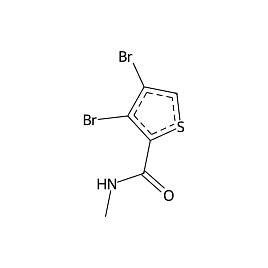 CNC(=O)c1scc(Br)c1Br